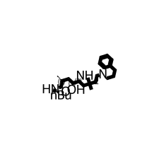 CCCCNC(=O)[C@H](C)C[C@H](O)[C@@H](N)CC(C)(C)CCN1CCCc2ccccc21